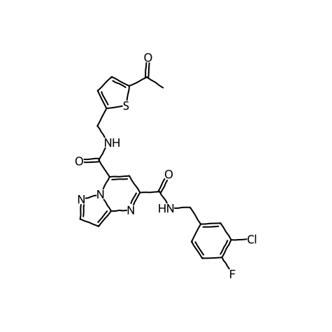 CC(=O)c1ccc(CNC(=O)c2cc(C(=O)NCc3ccc(F)c(Cl)c3)nc3ccnn23)s1